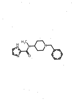 CN(C(=O)c1ncc[nH]1)C1CCN(Cc2ccccc2)CC1